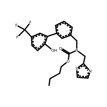 CCCCOC(=O)N(Cc1cccc(-c2cc(C(F)(F)F)ccc2O)c1)Cc1nccs1